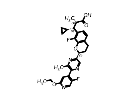 CCOc1cc(-c2ncc([C@@H]3CCc4ccc([C@H](C5CC5)[C@H](C)C(=O)O)c(F)c4O3)nc2C)c(F)cn1